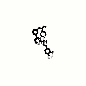 CCN(Cc1cccc(-c2ccnc(NCCc3ccc(O)c(F)c3)n2)c1)C1CCNCC1